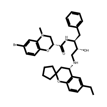 CCc1ccc2c(c1)[C@@H](NC[C@@H](O)[C@H](Cc1ccccc1)NC(=O)[C@H]1CN(C)c3cc(Br)ccc3O1)CC1(CCCC1)O2